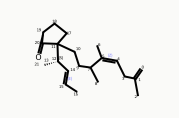 C=C(C)C/C=C(/C)C(C)CCC1([C@@H](C)/C=C/C)CCCC1=O